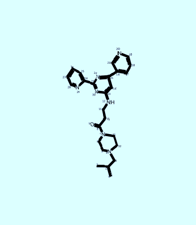 CC(C)CN1CCN(C(=O)CCNc2cc(-c3cccnc3)nc(-c3ccccn3)n2)CC1